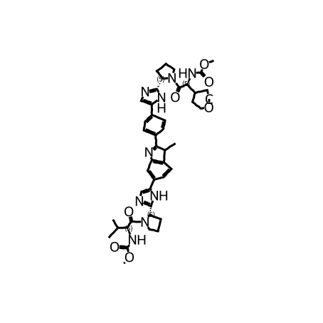 COC(=O)N[C@H](C(=O)N1CCC[C@H]1c1ncc(-c2ccc3c(c2)N=C(c2ccc(-c4cnc([C@@H]5CCCN5C(=O)[C@@H](NC(=O)OC)C5CCOCC5)[nH]4)cc2)C3C)[nH]1)C(C)C